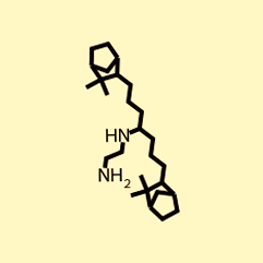 CC1(C)C2CCC(C2)C1CCCC(CCCC1C2CCC(C2)C1(C)C)NCCN